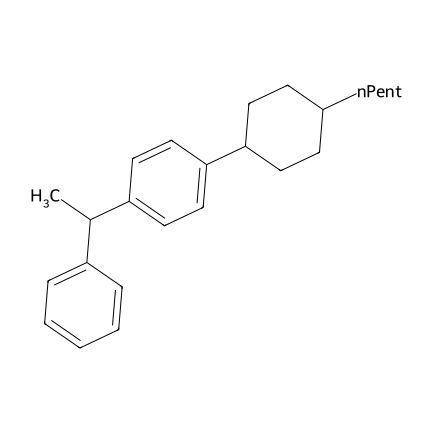 CCCCCC1CCC(c2ccc(C(C)c3ccccc3)cc2)CC1